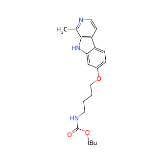 Cc1nccc2c1[nH]c1cc(OCCCCNC(=O)OC(C)(C)C)ccc12